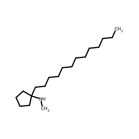 CCCCCCCCCCCCCC1(NC)CCCC1